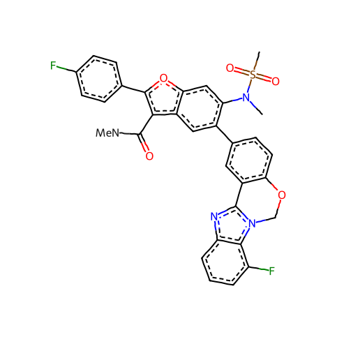 CNC(=O)c1c(-c2ccc(F)cc2)oc2cc(N(C)S(C)(=O)=O)c(-c3ccc4c(c3)-c3nc5cccc(F)c5n3CO4)cc12